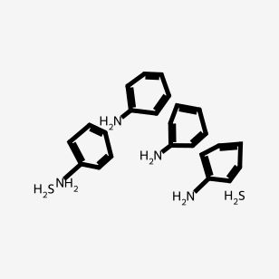 Nc1ccccc1.Nc1ccccc1.Nc1ccccc1.Nc1ccccc1.S.S